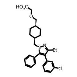 CCc1nn(C[C@H]2CC[C@@H](COCC(=O)O)CC2)c(-c2ccccc2)c1-c1cccc(Cl)c1